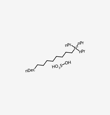 CCCCCCCCCCCCCCCCCC[N+](CCC)(CCC)CCC.O=S(=O)(O)O